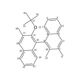 Cc1cc2ccccc2c(-c2c(OC(C)(C)C)c(C)cc3ccccc23)c1C